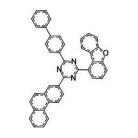 c1ccc(-c2ccc(-c3nc(-c4ccc5c(ccc6ccccc65)c4)nc(-c4cccc5oc6ccccc6c45)n3)cc2)cc1